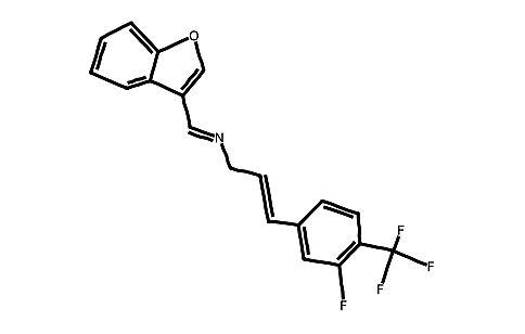 Fc1cc(C=CCN=Cc2coc3ccccc23)ccc1C(F)(F)F